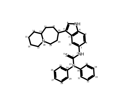 S=C(Nc1ccc2[nH]cc(C3CCC4CCCCN4CC3)c2c1)N(c1ccccc1)c1ccccc1